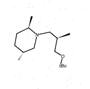 C[C@@H]1CC[C@@H](C)N(C[C@@H](C)COC(C)(C)C)C1